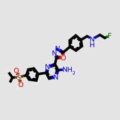 CC(C)S(=O)(=O)c1ccc(-c2cnc(N)c(-c3nnc(-c4ccc(CNCCF)cc4)o3)n2)cc1